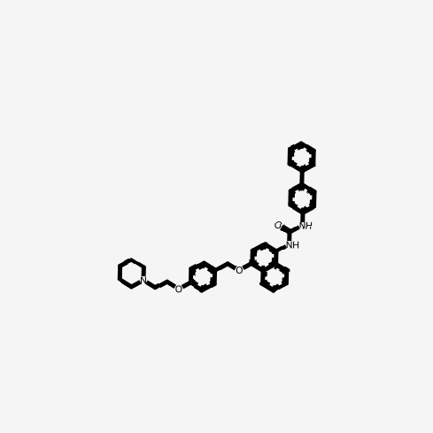 O=C(Nc1ccc(-c2ccccc2)cc1)Nc1ccc(OCc2ccc(OCCN3CCCCC3)cc2)c2ccccc12